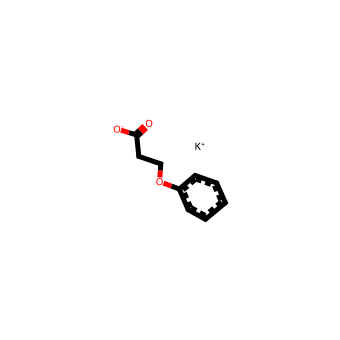 O=C([O-])CCOc1ccccc1.[K+]